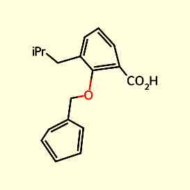 CC(C)Cc1cccc(C(=O)O)c1OCc1ccccc1